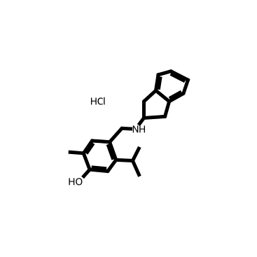 Cc1cc(CNC2Cc3ccccc3C2)c(C(C)C)cc1O.Cl